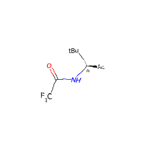 CC(=O)[C@@H](NC(=O)C(F)(F)F)C(C)(C)C